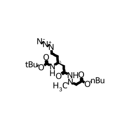 CCCCOC(=O)CN(C)NC(=O)C[C@H](CCN=[N+]=[N-])NC(=O)OC(C)(C)C